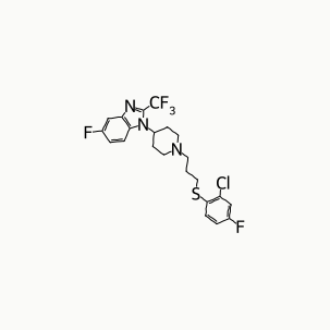 Fc1ccc(SCCCN2CCC(n3c(C(F)(F)F)nc4cc(F)ccc43)CC2)c(Cl)c1